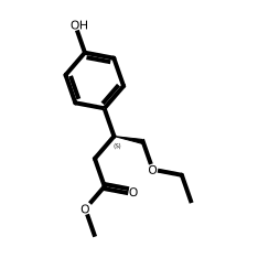 CCOC[C@@H](CC(=O)OC)c1ccc(O)cc1